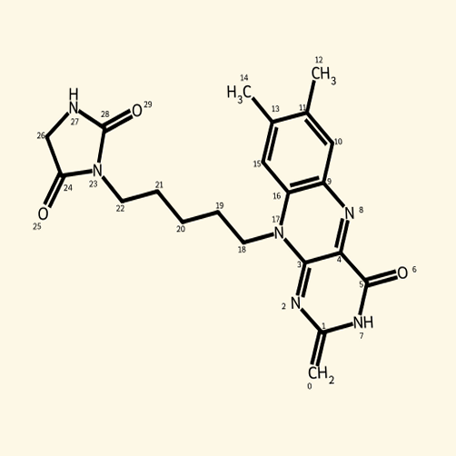 C=c1nc2c(c(=O)[nH]1)=Nc1cc(C)c(C)cc1N2CCCCCN1C(=O)CNC1=O